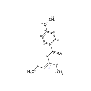 CC/C=C(/CC)CC(=O)c1ccc(OC)cc1